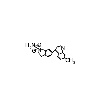 Cc1ccc2c(-c3ccc4c(c3)CN(S(N)(=O)=O)CC4)ccnc2c1